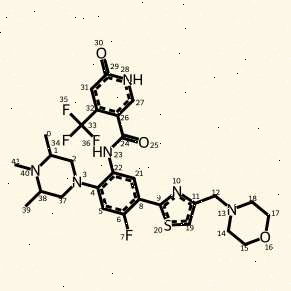 CC1CN(c2cc(F)c(-c3nc(CN4CCOCC4)cs3)cc2NC(=O)c2c[nH]c(=O)cc2C(F)(F)F)CC(C)N1C